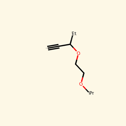 [C]#CC(CC)OCCOC(C)C